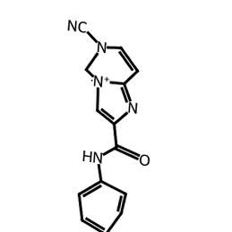 N#CN1C=CC2=NC(C(=O)Nc3ccccc3)=C[N+]2C1